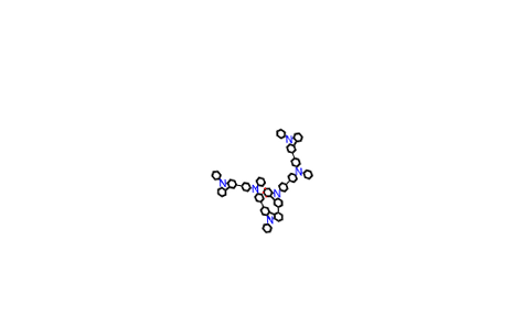 c1ccc(N(c2ccc(-c3ccc(-n4c5ccccc5c5cc(-c6cccc7c6c6cc(-c8ccc(N(c9ccccc9)c9ccc(-c%10ccc%11c(c%10)c%10ccccc%10n%11-c%10ccccc%10)cc9)cc8)ccc6n7-c6ccccc6)ccc54)cc3)cc2)c2ccc(-c3ccc4c(c3)c3ccccc3n4-c3ccccc3)cc2)cc1